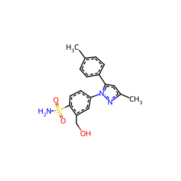 Cc1ccc(-c2cc(C)nn2-c2ccc(S(N)(=O)=O)c(CO)c2)cc1